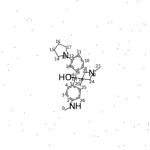 CNc1ccc([C@](O)(c2cccc(N3CCCC3)c2)C2(C)CN(C)C2)cc1